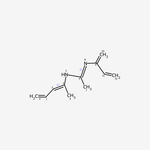 C=C/C=C(\C)N/C(C)=N/C(=C)C=C